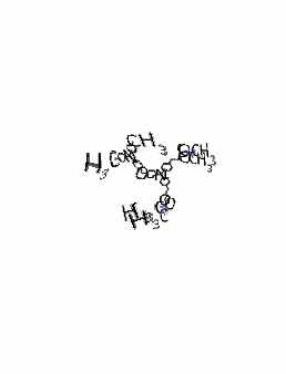 C/C=C(\C)C(=O)OCCCc1ccc(N(c2ccc(CCCOC(=O)/C(C)=C/C)cc2)c2ccc(Oc3ccc(N(c4ccc(C)cc4)c4ccc(C)cc4)cc3)cc2)cc1